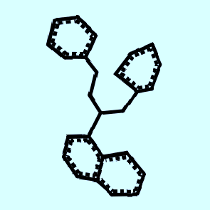 c1ccc(CCC(Cc2ccccc2)c2cccc3ccccc23)cc1